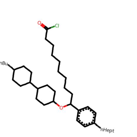 CCCCCCCc1ccc(C(CCCCCCCCC(=O)Cl)OC2CCC(C3CCC(CCCC)CC3)CC2)cc1